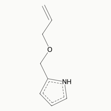 C=CCOCc1ccc[nH]1